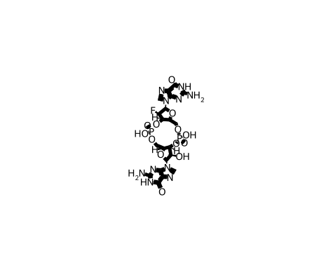 Nc1nc2c(ncn2[C@@H]2O[C@@H]3COP(=O)(O)O[C@@H]4C(COP(=O)(O)O[C@H]3[C@H]2O)O[C@@H](n2cnc3c(=O)[nH]c(N)nc32)[C@@H]4F)c(=O)[nH]1